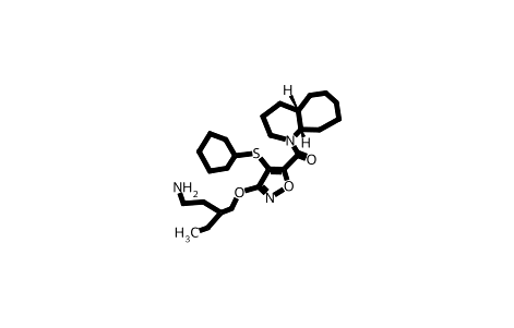 CCC(CCN)COc1noc(C(=O)N2CCC[C@@H]3CCCCC[C@@H]32)c1SC1CCCCC1